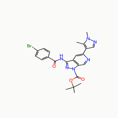 Cc1c(-c2cc3c(NC(=O)c4ccc(Br)cc4)nn(C(=O)OC(C)(C)C)c3cn2)cnn1C